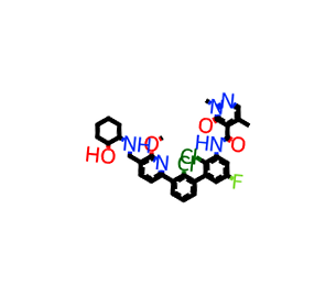 COc1nc(-c2cccc(-c3cc(F)cc(NC(=O)c4c(C)cnn(C)c4=O)c3Cl)c2Cl)ccc1CNC1CCCCC1O